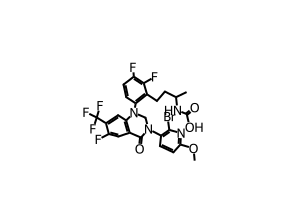 COc1ccc(N2CN(c3ccc(F)c(F)c3CCC(C)NC(=O)O)c3cc(C(F)(F)F)c(F)cc3C2=O)c(Br)n1